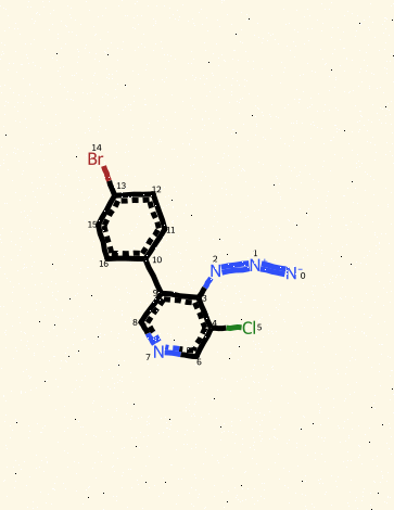 [N-]=[N+]=Nc1c(Cl)cncc1-c1ccc(Br)cc1